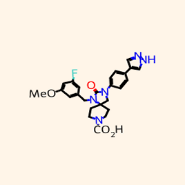 COc1cc(F)cc(CN2C(=O)N(c3ccc(-c4cn[nH]c4)cc3)CC23CCN(C(=O)O)CC3)c1